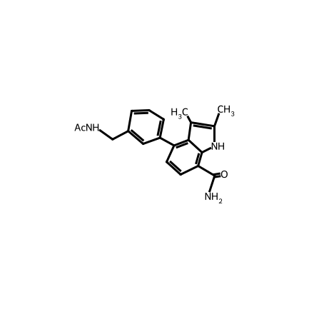 CC(=O)NCc1cccc(-c2ccc(C(N)=O)c3[nH]c(C)c(C)c23)c1